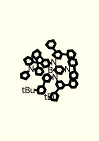 CC(C)(C)c1cc(-c2ccc3c(c2)N(c2cc(-c4ccccc4)cc(-c4ccccc4)c2)c2cc(-n4c5ccccc5c5ccccc54)cc4c2B3c2cc3c(cc2N4c2cc(-c4ccccc4)cc(-c4ccccc4)c2)-c2ccccc2C32c3ccccc3N(c3ccccc3)c3ccccc32)cc(C(C)(C)C)c1